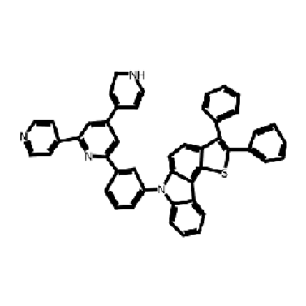 C1=CC(c2cc(-c3ccncc3)nc(-c3cccc(-n4c5ccccc5c5c6sc(-c7ccccc7)c(-c7ccccc7)c6ccc54)c3)c2)=CCN1